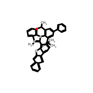 Cc1ccc2c(oc3cc4ccccc4cc32)c1-c1n(-c2c(C(C)C)cc(-c3ccccc3)cc2C(C)C)c2ccccc2[n+]1C